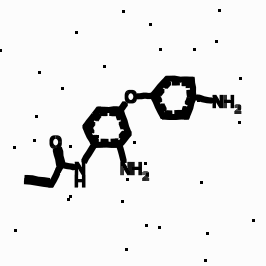 C=CC(=O)Nc1ccc(Oc2ccc(N)cc2)cc1N